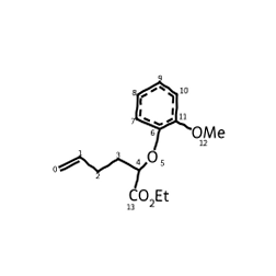 C=CCCC(Oc1ccccc1OC)C(=O)OCC